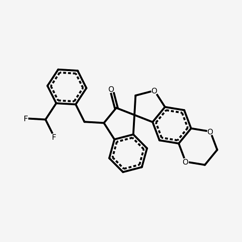 O=C1C(Cc2ccccc2C(F)F)c2ccccc2C12COc1cc3c(cc12)OCCO3